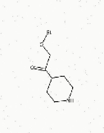 CCOCC(=O)C1CCNCC1